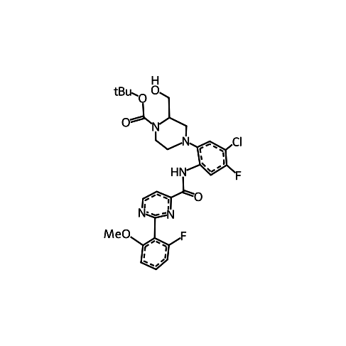 COc1cccc(F)c1-c1nccc(C(=O)Nc2cc(F)c(Cl)cc2N2CCN(C(=O)OC(C)(C)C)C(CO)C2)n1